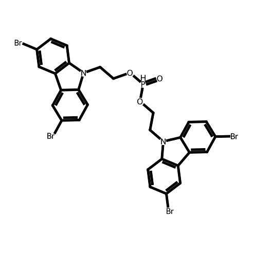 O=[PH](OCCn1c2ccc(Br)cc2c2cc(Br)ccc21)OCCn1c2ccc(Br)cc2c2cc(Br)ccc21